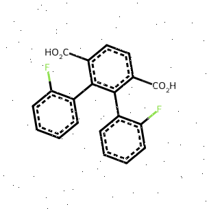 O=C(O)c1ccc(C(=O)O)c(-c2ccccc2F)c1-c1ccccc1F